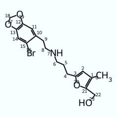 Cc1cc(CCCNCCc2cc3c(cc2Br)OCO3)oc1CO